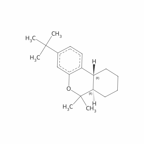 CC(C)(C)c1ccc2c(c1)OC(C)(C)[C@@H]1CCCC[C@@H]21